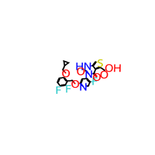 O=C(O)c1scc2[nH]c(=O)n(-c3cc(OCc4c(OCC5CC5)ccc(F)c4F)ncc3F)c(=O)c12